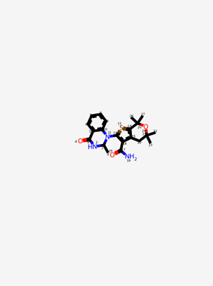 CC1NC(=O)c2ccccc2N1c1sc2c(c1C(N)=O)CC(C)(C)OC2(C)C